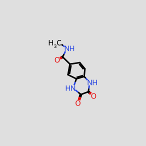 CNC(=O)c1ccc2[nH]c(=O)c(=O)[nH]c2c1